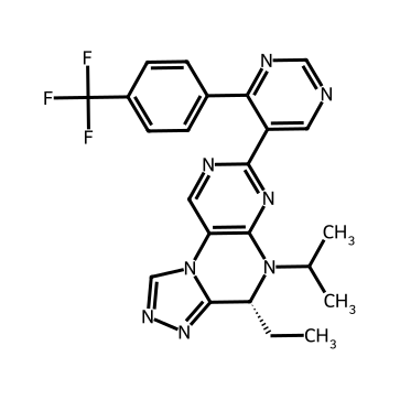 CC[C@@H]1c2nncn2-c2cnc(-c3cncnc3-c3ccc(C(F)(F)F)cc3)nc2N1C(C)C